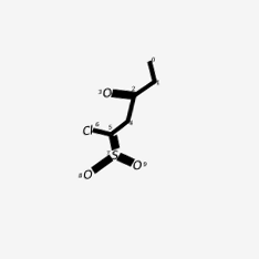 CCC(=O)CC(Cl)=S(=O)=O